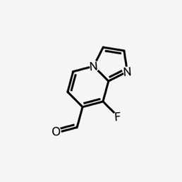 O=Cc1ccn2ccnc2c1F